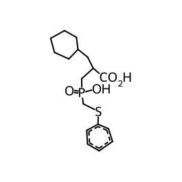 O=C(O)C(CC1CCCCC1)CP(=O)(O)CSc1ccccc1